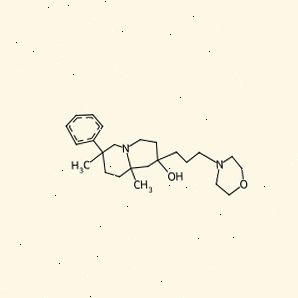 CC1(c2ccccc2)CCC2(C)CC(O)(CCCN3CCOCC3)CCN2C1